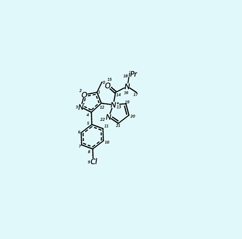 Cc1onc(-c2ccc(Cl)cc2)c1[N+]1(C(=O)N(C)C(C)C)C=CC=N1